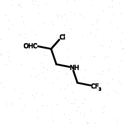 O=CC(Cl)CNCC(F)(F)F